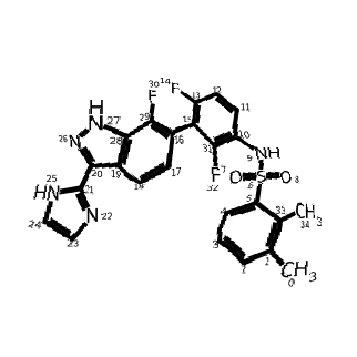 Cc1cccc(S(=O)(=O)Nc2ccc(F)c(-c3ccc4c(-c5ncc[nH]5)n[nH]c4c3F)c2F)c1C